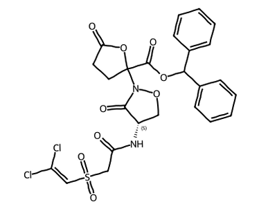 O=C(CS(=O)(=O)C=C(Cl)Cl)N[C@H]1CON(C2(C(=O)OC(c3ccccc3)c3ccccc3)CCC(=O)O2)C1=O